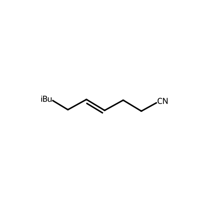 CCC(C)C/C=C/CCC#N